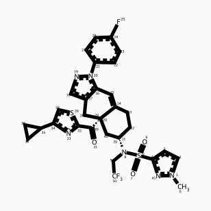 Cn1ccc(S(=O)(=O)N(CC(F)(F)F)[C@H]2CCC3=Cc4c(cnn4-c4ccc(F)cc4)C[C@]3(C(=O)c3nc(C4CC4)cs3)C2)n1